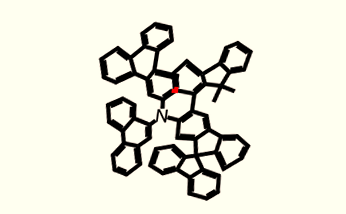 CC1(C)c2ccccc2-c2cccc(-c3cc4c(cc3N(c3ccc5c6ccccc6c6ccccc6c5c3)c3cc5ccccc5c5ccccc35)C3(c5ccccc5-c5ccccc53)c3ccccc3-4)c21